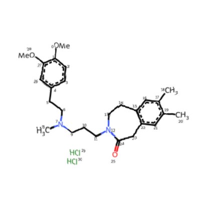 COc1ccc(CCN(C)CCCN2CCc3cc(C)c(C)cc3CC2=O)cc1OC.Cl.Cl